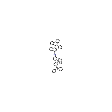 CCC1(CC)c2cc(/C=C/c3ccc(-c4c(-c5ccccc5)c5ccccc5c5ccccc45)c4ccccc34)ccc2-c2ccc(N(c3ccccc3)c3ccccc3)cc21